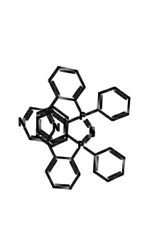 S=P(c1ccccc1)(c1ccccc1)c1ccccc1-c1cncc(-c2ccccc2P(=S)(c2ccccc2)c2ccccc2)n1